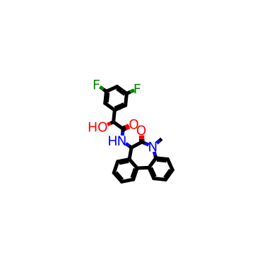 CN1C(=O)C(NC(=O)C(O)c2cc(F)cc(F)c2)c2ccccc2-c2ccccc21